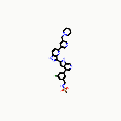 CS(=O)(=O)NCc1cc(F)cc(-c2cncc3[nH]c(-c4n[nH]c5ccc(-c6cncc(CN7CCCCC7)c6)nc45)cc23)c1